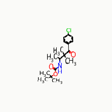 CC(NC(=O)OC(C)(C)C)C(C)(C)C(=O)c1ccc(Cl)cc1